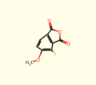 COc1ccc2c(c1F)C(=O)OC2=O